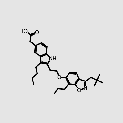 CCCCc1c(CCOc2ccc3c(CC(C)(C)C)noc3c2CCC)[nH]c2ccc(CC(=O)O)cc12